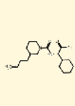 C=CCCC1CCCN(C(=O)N[C@H](C(=O)O)C2CCCCC2)C1